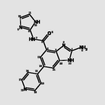 Nc1nc2c(C(=O)Nc3ncc[nH]3)cc(-c3ccncc3)cc2[nH]1